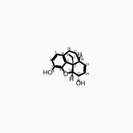 CC[C@]12c3c4ccc(O)c3O[C@H]1[C@@H](O)C=C[C@H]2CC4